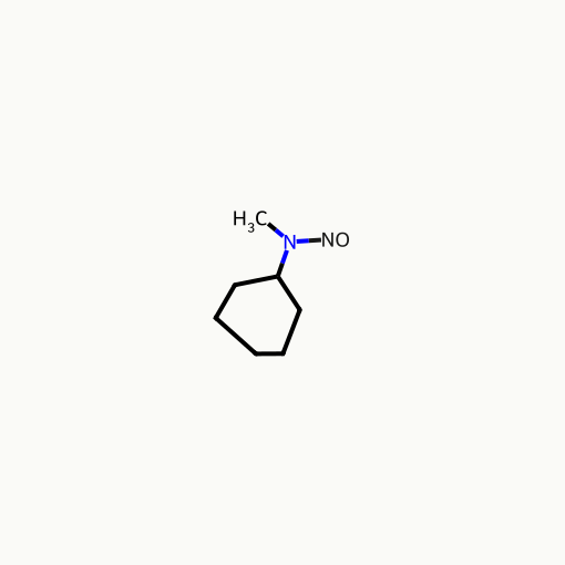 CN(N=O)C1CCCCC1